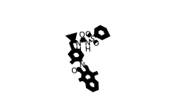 Cc1cc(CC2(NC(=O)NS(=O)(=O)c3ccccc3)CC2)ccc1N1Cc2c(c(C)c3ccccc3c2C)C1=O